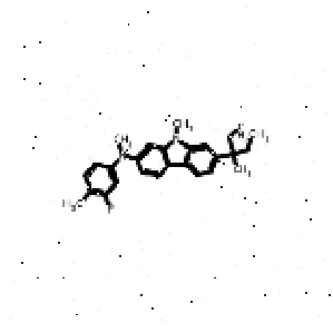 CCC(C)(CC)c1ccc2c3ccc(N(C)c4ccc(C)c(F)c4)cc3n(C)c2c1